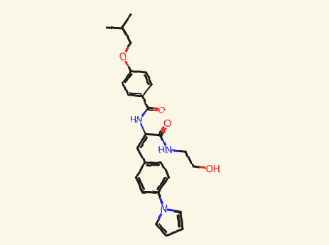 CC(C)COc1ccc(C(=O)NC(=Cc2ccc(-n3cccc3)cc2)C(=O)NCCO)cc1